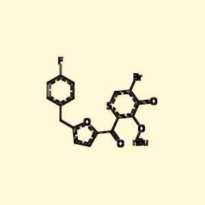 CCCCOc1c(C(=O)c2ccc(Cc3ccc(F)cc3)o2)scc(Br)c1=O